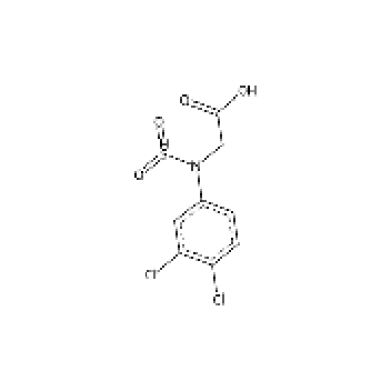 O=C(O)CN(c1ccc(Cl)c(Cl)c1)[SH](=O)=O